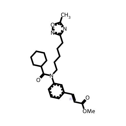 COC(=O)/C=C/c1cccc(N(CCCCCc2noc(C)n2)C(=O)C2CCCCC2)c1